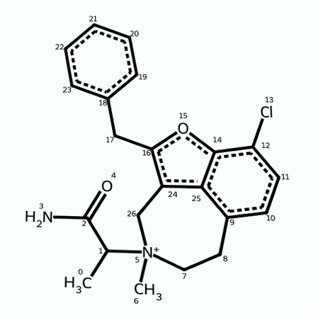 CC(C(N)=O)[N+]1(C)CCc2ccc(Cl)c3oc(Cc4ccccc4)c(c23)C1